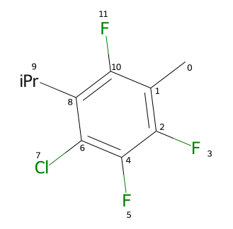 Cc1c(F)c(F)c(Cl)c(C(C)C)c1F